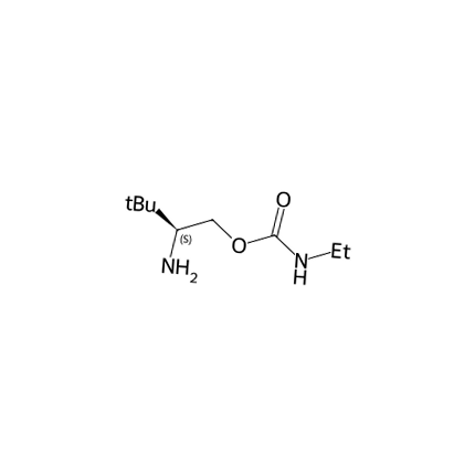 CCNC(=O)OC[C@@H](N)C(C)(C)C